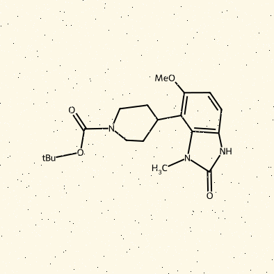 COc1ccc2[nH]c(=O)n(C)c2c1C1CCN(C(=O)OC(C)(C)C)CC1